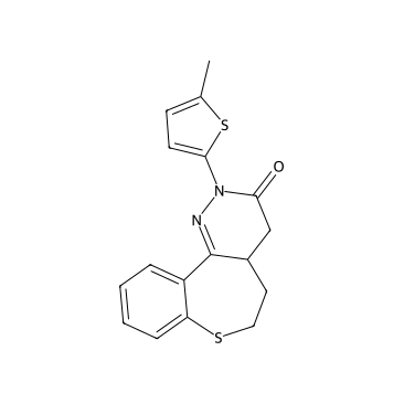 Cc1ccc(N2N=C3c4ccccc4SCCC3CC2=O)s1